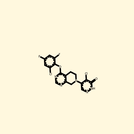 O=c1[nH]ncc(N2CCc3c(ncnc3Oc3c(F)cc(F)cc3Cl)C2)c1Cl